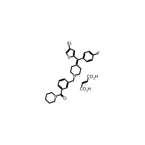 CCc1csc(C(=C2CCN(Cc3cccc(C(=O)N4CCCCC4)c3)CC2)c2ccc(F)cc2)c1.O=C(O)/C=C/C(=O)O